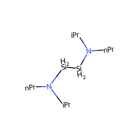 CCCN([SiH2][SiH2]N(CCC)C(C)C)C(C)C